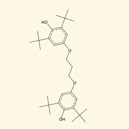 CC(C)(C)c1cc(OCCCOc2cc(C(C)(C)C)c(O)c(C(C)(C)C)c2)cc(C(C)(C)C)c1O